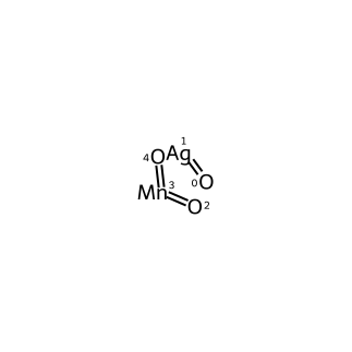 [O]=[Ag].[O]=[Mn]=[O]